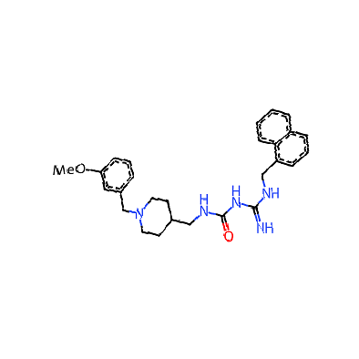 COc1cccc(CN2CCC(CNC(=O)NC(=N)NCc3cccc4ccccc34)CC2)c1